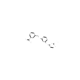 N#Cc1nccc(Oc2cccc(OCc3cccc(C(=N)N)c3)c2)n1